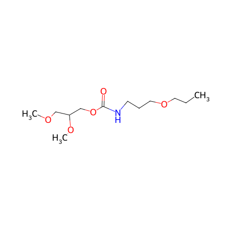 CCCOCCCNC(=O)OCC(COC)OC